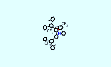 Cc1ccccc1-c1cc(-c2ccc3c(c2)c2cc(-c4cc(-c5ccccc5C)cc(-c5ccccc5C(F)(F)F)c4)ccc2n3-c2ccccc2-c2cc(C(F)(F)F)cc(C(F)(F)F)c2)cc(-c2ccccc2C(F)(F)F)c1